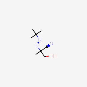 CC(C)(C)N=NC(C)(C#N)CO